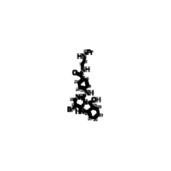 CC(C)NCCNC(=O)c1ccc(Nc2ncc(Br)c(Nc3ccccc3CO)n2)cc1